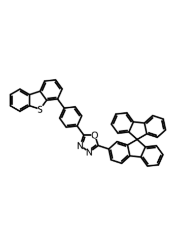 c1ccc2c(c1)-c1ccccc1C21c2ccccc2-c2ccc(-c3nnc(-c4ccc(-c5cccc6c5sc5ccccc56)cc4)o3)cc21